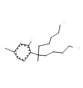 CCCCCC(C)(CCCCC)c1ccc(Cl)cc1F